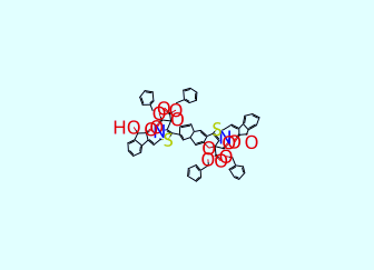 O=C1C(=O)c2ccccc2/C1=C/c1nc2c(s1)C1=CC3C=C4OC(C(=O)OCc5ccccc5)(C(=O)OCc5ccccc5)c5nc(/C=C6\C(=O)C(O)c7ccccc76)sc5C4=CC3C=C1OC2(C(=O)OCc1ccccc1)C(=O)OCc1ccccc1